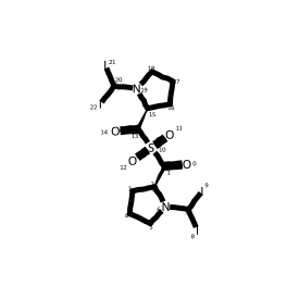 O=C([C@@H]1CCCN1C(I)I)S(=O)(=O)C(=O)[C@@H]1CCCN1C(I)I